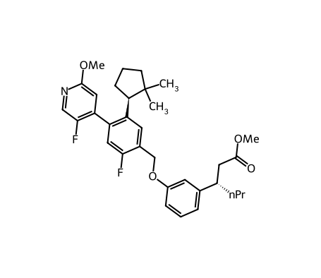 CCC[C@@H](CC(=O)OC)c1cccc(OCc2cc([C@H]3CCCC3(C)C)c(-c3cc(OC)ncc3F)cc2F)c1